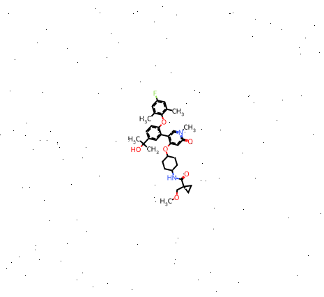 COCC1(C(=O)NC2CCC(Oc3cc(=O)n(C)cc3-c3cc(C(C)(C)O)ccc3Oc3c(C)cc(F)cc3C)CC2)CC1